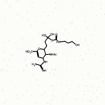 CC(=O)NC1C(NC(=N)N)C=C(C(=O)O)OC1CCC(O)(O)OC(=O)NCCCO